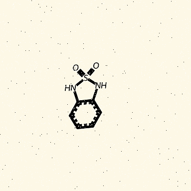 O=S1(=O)Nc2c[c]ccc2N1